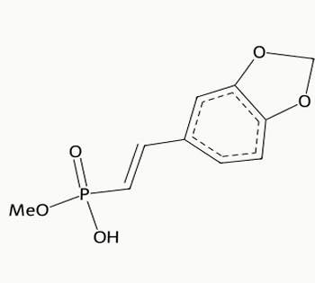 COP(=O)(O)/C=C/c1ccc2c(c1)OCO2